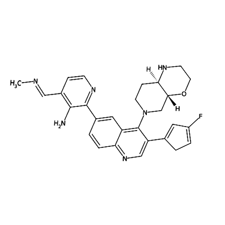 C/N=C/c1ccnc(-c2ccc3ncc(C4=CC(F)=CC4)c(N4CC[C@H]5NCCO[C@@H]5C4)c3c2)c1N